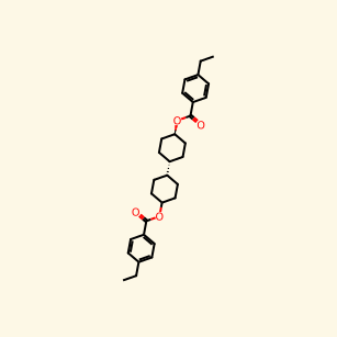 CCc1ccc(C(=O)OC2CCC([C@H]3CC[C@H](OC(=O)c4ccc(CC)cc4)CC3)CC2)cc1